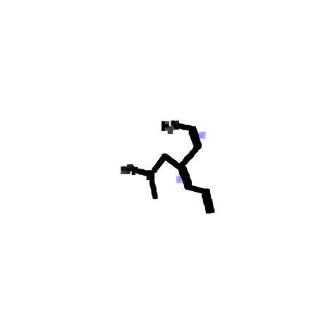 C=C/C=C(\C=C/N)CN(C)CCC